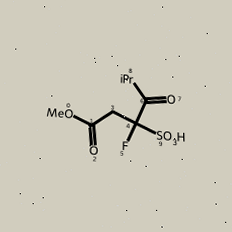 COC(=O)CC(F)(C(=O)C(C)C)S(=O)(=O)O